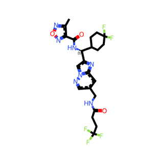 Cc1nonc1C(=O)N[C@H](c1cn2ncc(CNC(=O)CCC(F)(F)F)cc2n1)C1CCC(F)(F)CC1